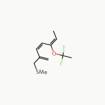 C=C(/C=C\C(=C/C)OC(C)(F)F)CSC